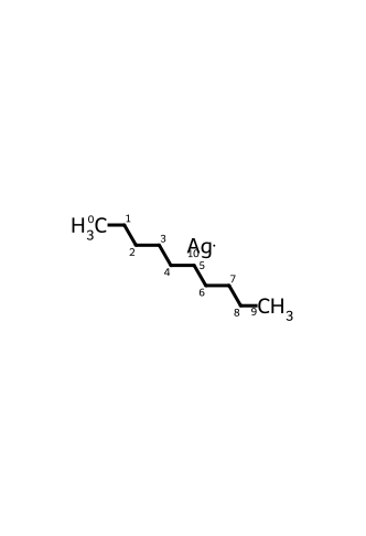 CCCCCCCCCC.[Ag]